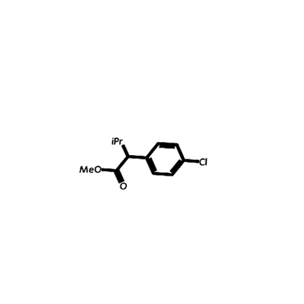 COC(=O)C(c1ccc(Cl)cc1)C(C)C